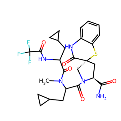 CN(C(=O)C(CC1CC1)NC(=O)C(F)(F)F)C(CC1CC1)C(=O)N1C[C@@]2(C[C@H]1C(N)=O)Sc1ccccc1NC2=O